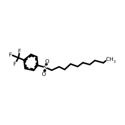 CCCCCCCCCCS(=O)(=O)c1[c]cc(C(F)(F)F)cc1